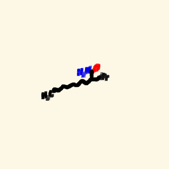 C=CCCCCCCCC(CC(C)C)C(N)=O